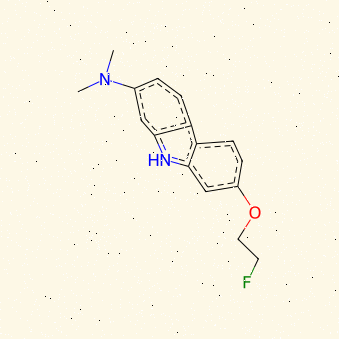 CN(C)c1ccc2c(c1)[nH]c1cc(OCCF)ccc12